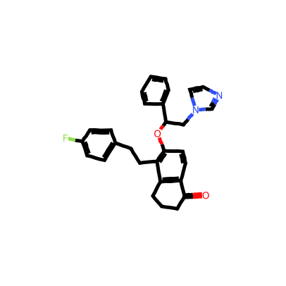 O=C1CCCc2c1ccc(OC(Cn1ccnc1)c1ccccc1)c2CCc1ccc(F)cc1